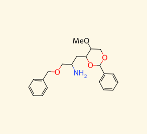 COC1COC(c2ccccc2)OC1CC(N)COCc1ccccc1